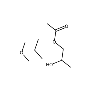 CC(=O)OCC(C)O.CCC.COC